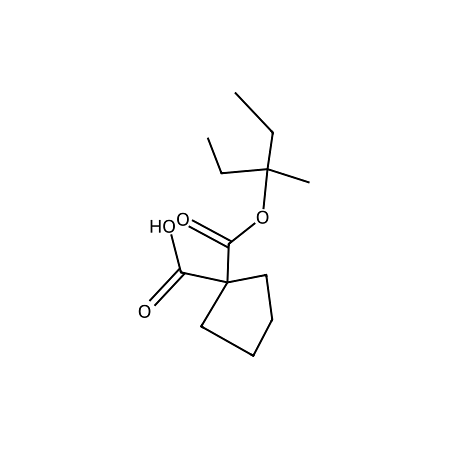 CCC(C)(CC)OC(=O)C1(C(=O)O)CCCC1